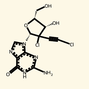 Nc1nc2c(ncn2[C@@H]2O[C@H](CO)[C@H](O)C2(Cl)C#CCl)c(=O)[nH]1